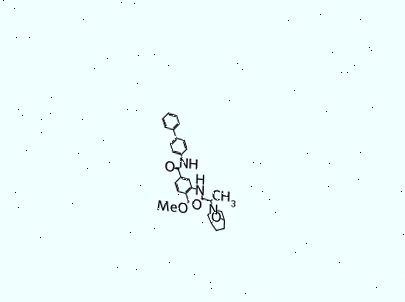 COCc1ccc(C(=O)Nc2ccc(-c3ccccc3)cc2)cc1NC(=O)C(C)N1CC2CCC(C1)O2